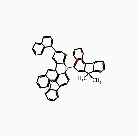 CC1(C)c2ccccc2-c2ccc(N(c3ccc4c(c3)oc3ccccc34)c3c(-c4ccccc4)cc(-c4cccc5ccccc45)cc3-c3ccc4ccccc4c3)cc21